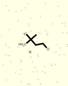 CC(Cl)(CCCl)C(=O)O.[Si]